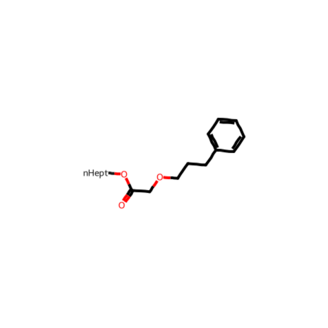 CCCCCCCOC(=O)COCCCc1ccccc1